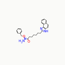 NN(OCc1ccccc1)C(=O)CCCCCCc1nc2c(ccc3ccccc32)[nH]1